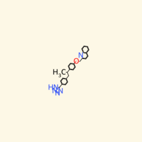 CC(Cc1ccc(-c2nnn[nH]2)cc1)c1ccc(OCc2ccc3ccccc3n2)cc1